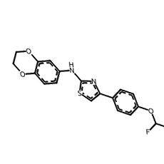 FC(F)Oc1ccc(-c2csc(Nc3ccc4c(c3)OCCO4)n2)cc1